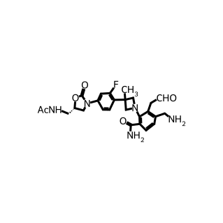 CC(=O)NC[C@H]1CN(c2ccc(C3(C)CN(c4c(C(N)=O)ccc(CN)c4CC=O)C3)c(F)c2)C(=O)O1